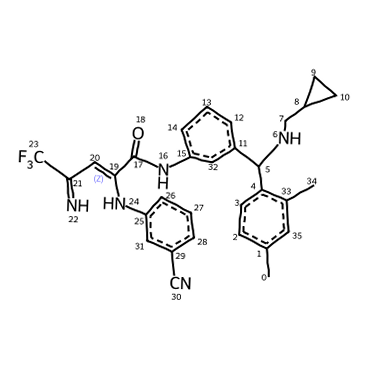 Cc1ccc(C(NCC2CC2)c2cccc(NC(=O)/C(=C/C(=N)C(F)(F)F)Nc3cccc(C#N)c3)c2)c(C)c1